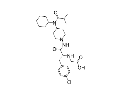 CC(C)C(=O)N(C1CCCCC1)C1CCN(NC(=O)[C@@H](Cc2ccc(Cl)cc2)NCC(=O)O)CC1